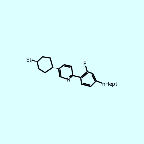 CCCCCCCc1ccc(-c2ccc([C@H]3CC[C@H](CC)CC3)cn2)c(F)c1